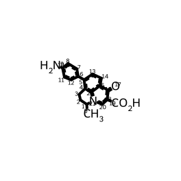 CC1CCc2c(-c3ccc(N)cc3)ccc3c(=O)c(C(=O)O)cn1c23